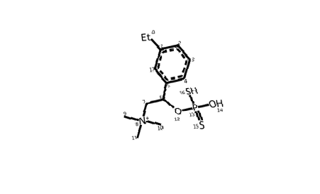 CCc1cccc(C(C[N+](C)(C)C)OP(O)(=S)S)c1